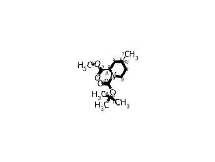 COC(=O)[C@H]1C[C@H](C)CCN1C(=O)OC(C)(C)C